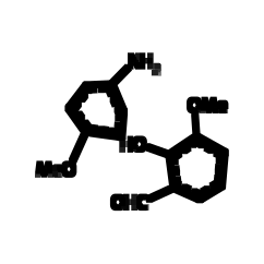 COc1ccc(N)cc1.COc1cccc(C=O)c1O